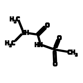 C[SH](C)C(=O)NS(C)(=O)=O